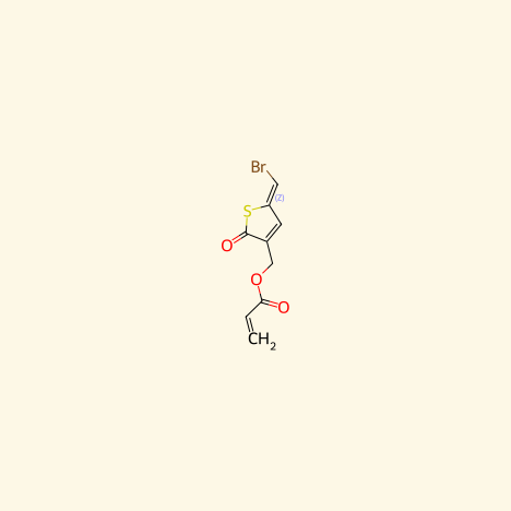 C=CC(=O)OCC1=C/C(=C/Br)SC1=O